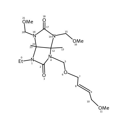 CCN1C(=O)N(COC/C=C/COC)C2(C)N(COC)C(=O)N(COC)C12C